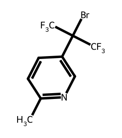 Cc1ccc(C(Br)(C(F)(F)F)C(F)(F)F)cn1